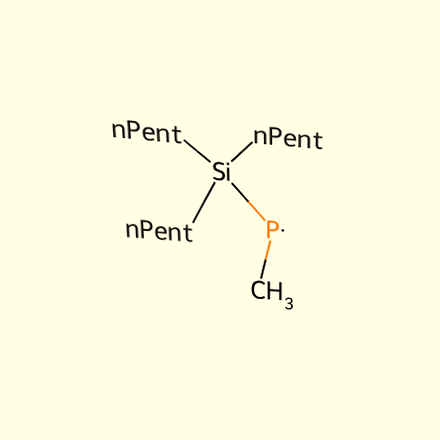 CCCCC[Si](CCCCC)(CCCCC)[P]C